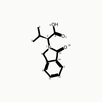 CC(C)[C@@H](C(=O)O)N1Cc2ccccc2C1=O